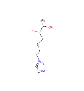 CC(O)C(O)CSCCn1ccnc1